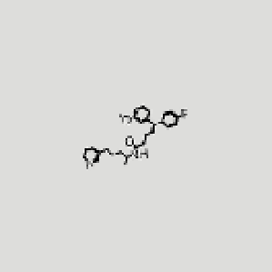 COc1cccc(/C(=C\CCC(=O)NC(C)CCCc2cccnc2)c2ccc(F)cc2)c1